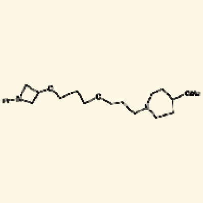 COC1CCN(CCCOCCCOC2CN(C(C)C)C2)CC1